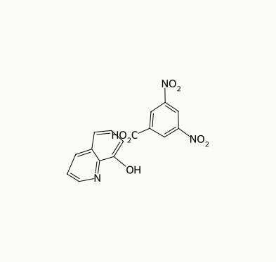 O=C(O)c1cc([N+](=O)[O-])cc([N+](=O)[O-])c1.Oc1cccc2cccnc12